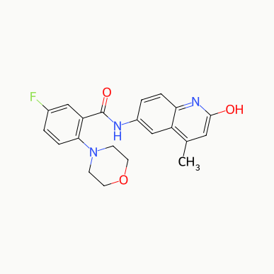 Cc1cc(O)nc2ccc(NC(=O)c3cc(F)ccc3N3CCOCC3)cc12